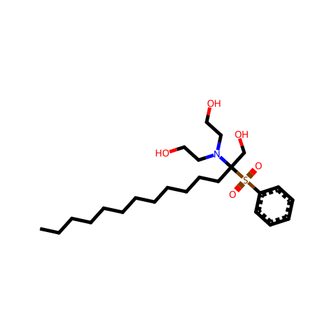 CCCCCCCCCCCCC(CO)(N(CCO)CCO)S(=O)(=O)c1ccccc1